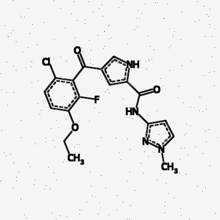 CCOc1ccc(Cl)c(C(=O)c2c[nH]c(C(=O)Nc3ccn(C)n3)c2)c1F